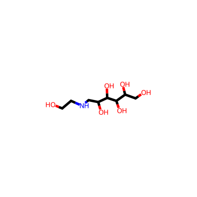 OCCNCC(O)C(O)C(O)C(O)CO